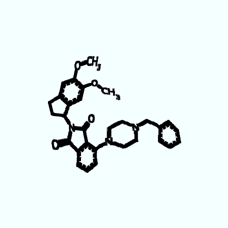 COc1cc2c(cc1OC)C(N1C(=O)c3cccc(N4CCN(Cc5ccccc5)CC4)c3C1=O)CC2